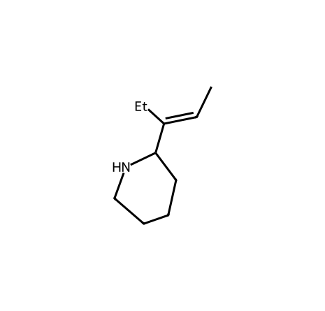 C/C=C(\CC)C1CCCCN1